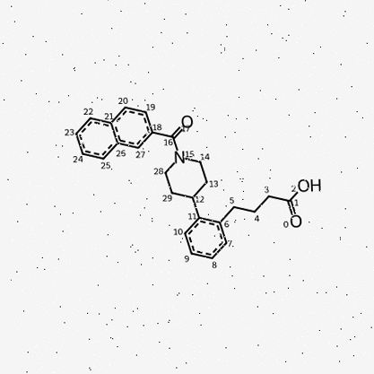 O=C(O)CCCc1ccccc1C1CCN(C(=O)c2ccc3ccccc3c2)CC1